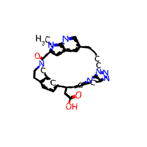 Cn1c2cc3cc(cnc31)CCCCn1nnc3cc(cnc31)C(CC(=O)O)c1ccc3c(c1)CN(CC3)C2=O